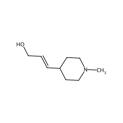 CN1CCC(/C=C/CO)CC1